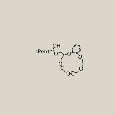 CCCCCC(O)OCC1COCCOCCOCCOc2ccccc2O1